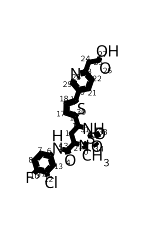 CN1C(C(=O)Nc2ccc(F)c(Cl)c2)CC(c2ccc(-c3ccc(CC(=O)O)nc3)s2)NS1(=O)=O